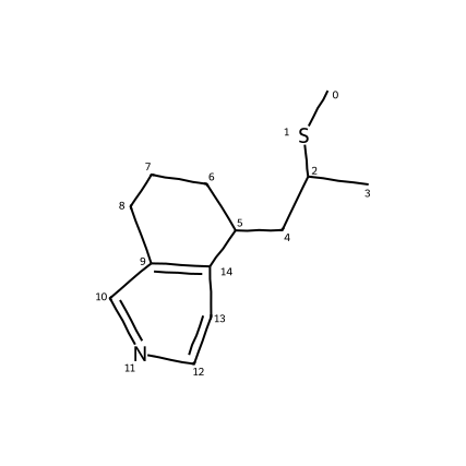 CSC(C)CC1CCCc2cnccc21